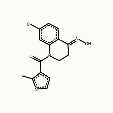 Cc1sccc1C(=O)N1CCC(=NO)c2ccc(Cl)cc21